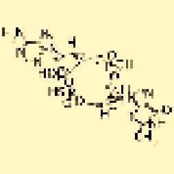 Cc1nc2c(ncn2[C@@H]2O[C@@H]3CO[P@](=O)(S)O[C@H]4[C@@H](O)[C@H](n5cnc6c(N)ncnc65)[C@H]5CC54COP(=O)(O)O[C@@H]2[C@@H]3F)c(=O)[nH]1